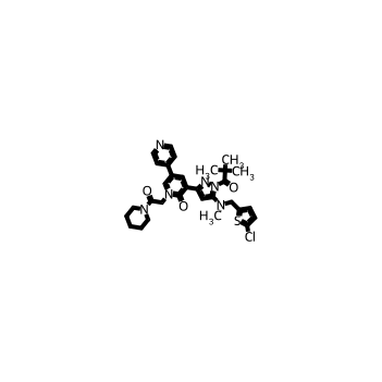 CN(Cc1ccc(Cl)s1)c1cc(-c2cc(-c3ccncc3)cn(CC(=O)N3CCCCC3)c2=O)nn1C(=O)C(C)(C)C